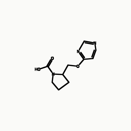 O=C(O)N1CCCC1COc1ccncn1